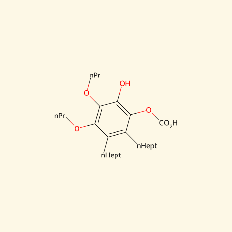 CCCCCCCc1c(CCCCCCC)c(OCCC)c(OCCC)c(O)c1OC(=O)O